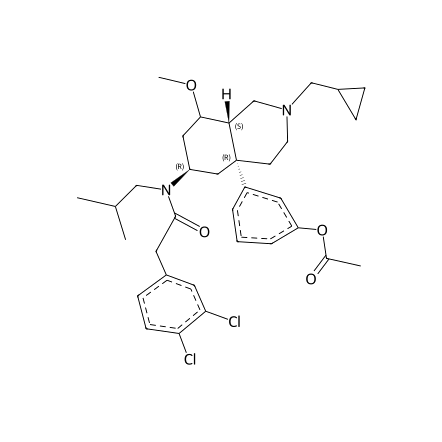 COC1C[C@H](N(CC(C)C)C(=O)Cc2ccc(Cl)c(Cl)c2)C[C@]2(c3cccc(OC(C)=O)c3)CCN(CC3CC3)C[C@@H]12